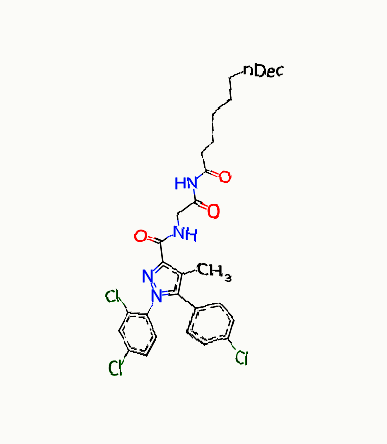 CCCCCCCCCCCCCCCC(=O)NC(=O)CNC(=O)c1nn(-c2ccc(Cl)cc2Cl)c(-c2ccc(Cl)cc2)c1C